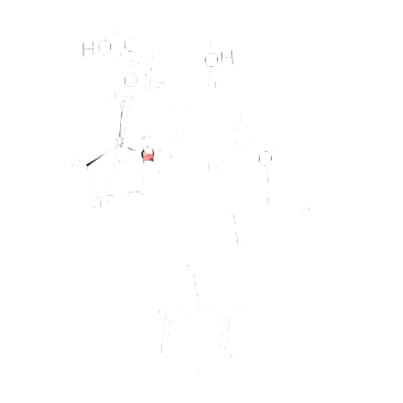 C[C@H](CCCc1ccccc1)Oc1cc(O)c2c(c1)[N+]13CCC[C@]1(CC2=CC(=O)O)C(=O)O3